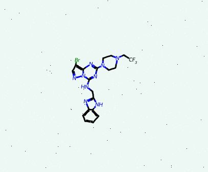 FC(F)(F)CN1CCN(c2nc(NCc3nc4ccccc4[nH]3)n3ncc(Br)c3n2)CC1